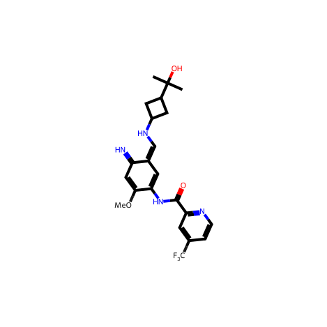 COC1=CC(=N)/C(=C\NC2CC(C(C)(C)O)C2)C=C1NC(=O)c1cc(C(F)(F)F)ccn1